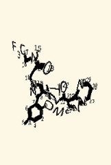 COc1ccc(C)cc1-c1nn(CC(=O)N(C)CC(F)(F)F)cc1NC(=O)c1cnn2cccnc12